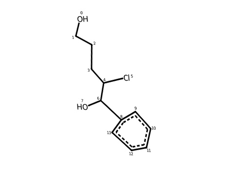 OCCCC(Cl)C(O)c1ccccc1